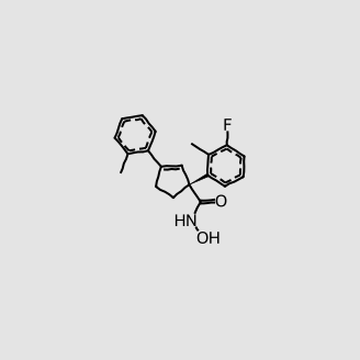 Cc1ccccc1C1=C[C@@](C(=O)NO)(c2cccc(F)c2C)CC1